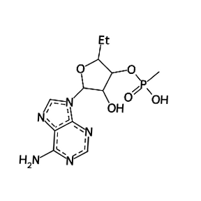 CCC1OC(n2cnc3c(N)ncnc32)C(O)C1OP(C)(=O)O